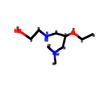 CCOC(CNCCO)CN(C)C